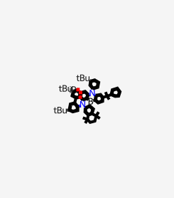 CC(C)c1cc2c3c(c1)N(c1ccc(C(C)(C)C)cc1-c1cccc(C(C)(C)C)c1)c1cc4c(cc1B3c1ccc(C(C)(C)c3ccccc3)cc1N2c1cccc(C(C)(C)C)c1)C(C)(C)CCC4(C)C